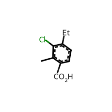 CCc1ccc(C(=O)O)c(C)c1Cl